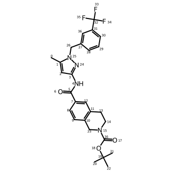 Cc1cc(NC(=O)c2ccc3c(c2)CCN(C(=O)OC(C)(C)C)C3)nn1Cc1cccc(C(F)(F)F)c1